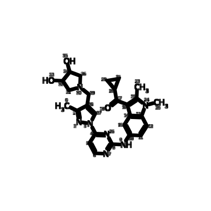 Cc1nn(-c2ccnc(Nc3ccc4c(c3)c(C(=O)C3CC3)c(C)n4C)n2)cc1CN1CC(O)C(O)C1